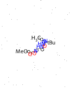 COc1ccc2c(CC(=O)N3CCC(Cc4ccccc4NC(=O)Nc4cc(C(C)(C)C)nn4-c4ccc(C)cc4)CC3)coc2c1